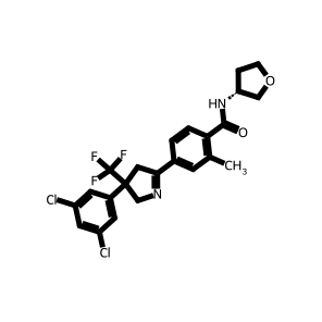 Cc1cc(C2=NCC(c3cc(Cl)cc(Cl)c3)(C(F)(F)F)C2)ccc1C(=O)N[C@@H]1CCOC1